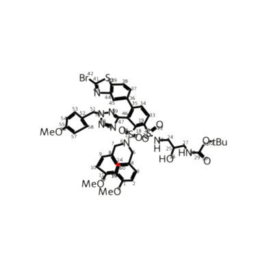 COc1ccc(CN(Cc2ccc(OC)cc2)S(=O)(=O)c2c(S(=O)(=O)NCC(O)CNC(=O)OC(C)(C)C)ccc(-c3ccc4sc(Br)nc4c3)c2-c2nnn(Cc3ccc(OC)cc3)n2)cc1